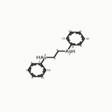 c1ccc([AsH]CC[AsH]c2ccccc2)cc1